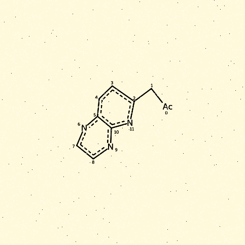 CC(=O)Cc1ccc2nccnc2n1